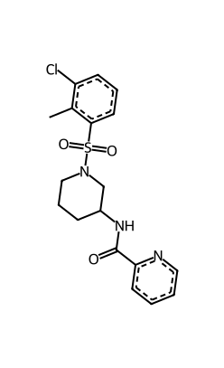 Cc1c(Cl)cccc1S(=O)(=O)N1CCCC(NC(=O)c2ccccn2)C1